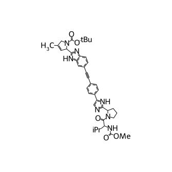 COC(=O)NC(C(=O)N1CCCC1c1ncc(-c2ccc(C#Cc3ccc4nc(C5C=C(C)CN5C(=O)OC(C)(C)C)[nH]c4c3)cc2)[nH]1)C(C)C